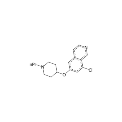 CCCN1CCC(Oc2cc(Cl)c3cnccc3c2)CC1